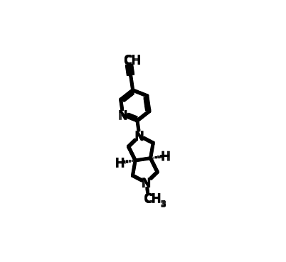 C#Cc1ccc(N2C[C@H]3CN(C)C[C@H]3C2)nc1